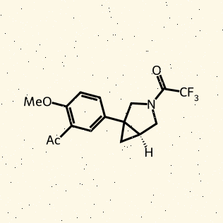 COc1ccc(C23C[C@@H]2CN(C(=O)C(F)(F)F)C3)cc1C(C)=O